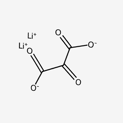 O=C([O-])C(=O)C(=O)[O-].[Li+].[Li+]